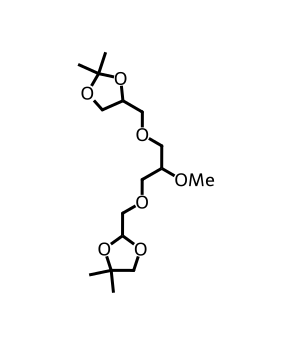 COC(COCC1COC(C)(C)O1)COCC1OCC(C)(C)O1